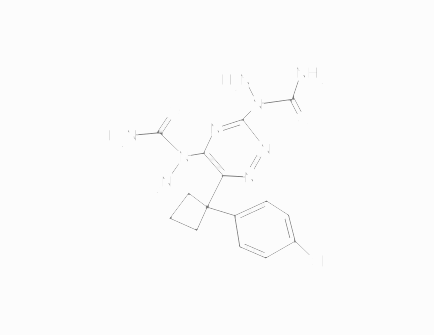 NC(=O)N(N)c1nnc(C2(c3ccc(Cl)cc3)CCC2)c(N(N)C(N)=O)n1